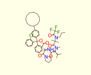 CCCN(C(=O)C(F)(F)F)C(C)(C)C(=O)N(C)[C@H](C(=O)N[C@@H](CC(=O)OC(c1ccccc1)(c1ccc(C2CCCCCCCCCC2)cc1)c1ccccc1Cl)C(=O)N1CCCC1)C(C)C